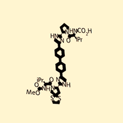 COC(=O)N[C@H](C(=O)N1CC2(C[C@H]1c1nc(-c3ccc(-c4ccc(-c5c[nH]c([C@@H]6CCCN6C(=O)[C@@H](NC(=O)O)C(C)C)n5)cc4)cc3)c[nH]1)SCCS2)C(C)C